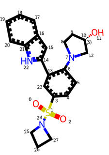 O=S(=O)(c1ccc(N2CC[C@H](O)C2)c(-c2cc3ccccc3[nH]2)c1)N1CCC1